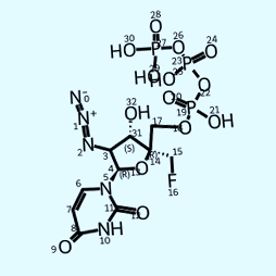 [N-]=[N+]=NC1[C@H](n2ccc(=O)[nH]c2=O)O[C@](CF)(COP(=O)(O)OP(=O)(O)OP(=O)(O)O)[C@H]1O